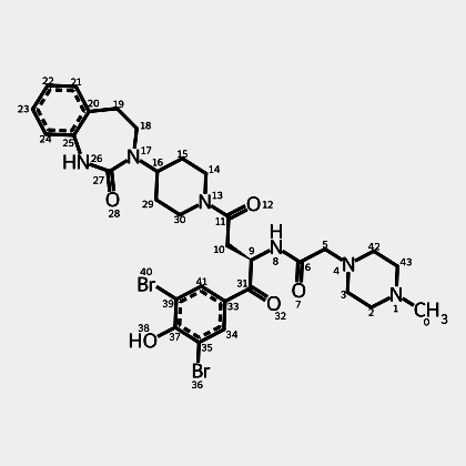 CN1CCN(CC(=O)N[C@H](CC(=O)N2CCC(N3CCc4ccccc4NC3=O)CC2)C(=O)c2cc(Br)c(O)c(Br)c2)CC1